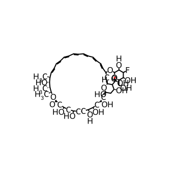 C[C@@H]1[C@H](O)[C@@H](C)/C=C/C=C/C=C/C=C/C=C/C=C/C=C/C(OC2OC(CO)C(O)C(F)C2O)C[C@@H]2OC(O)(CC(O)CC(O)C(O)CCC(O)CC(O)CC(=O)O[C@H]1C)C[C@H](O)C2C(=O)O